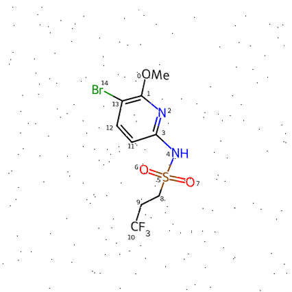 COc1nc(NS(=O)(=O)CCC(F)(F)F)ccc1Br